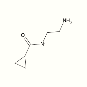 NCC[N]C(=O)C1CC1